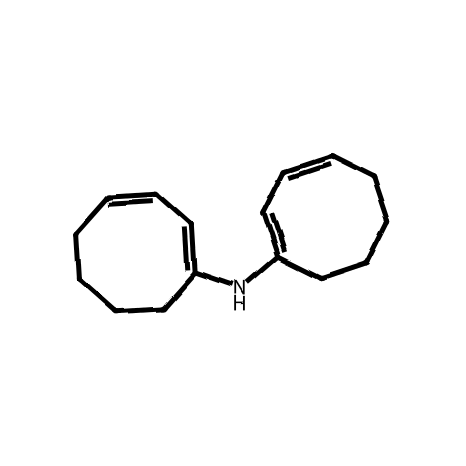 C1=CCCCCC(NC2=CC=CCCCC2)=C1